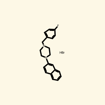 Br.Fc1ccc(CN2CCN(c3ccc4ccccc4c3)CC2)cc1